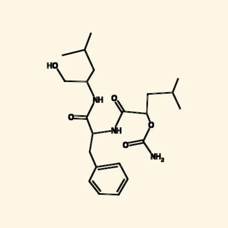 CC(C)CC(CO)NC(=O)C(Cc1ccccc1)NC(=O)C(CC(C)C)OC(N)=O